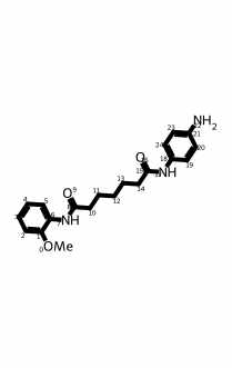 COc1ccccc1NC(=O)CCCCCC(=O)Nc1ccc(N)cc1